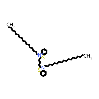 CCCCCCCCCCCCCCCCCCN1C(=CC=Cc2sc3ccccc3[n+]2CCCCCCCCCCCCCCCCCC)Sc2ccccc21